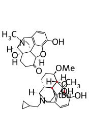 CN1CC[C@]23c4c5ccc(O)c4O[C@H]2C(=O)CC[C@@]3(O)[C@H]1C5.CO[C@]12CC[C@@]3(C[C@@H]1[C@](C)(O)C(C)(C)C)[C@H]1Cc4ccc(O)c5c4[C@@]3(CCN1CC1CC1)[C@H]2O5